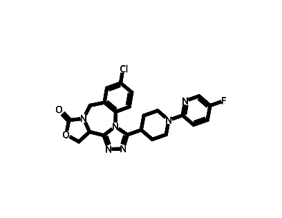 O=C1OCC2c3nnc(C4CCN(c5ccc(F)cn5)CC4)n3-c3ccc(Cl)cc3CN12